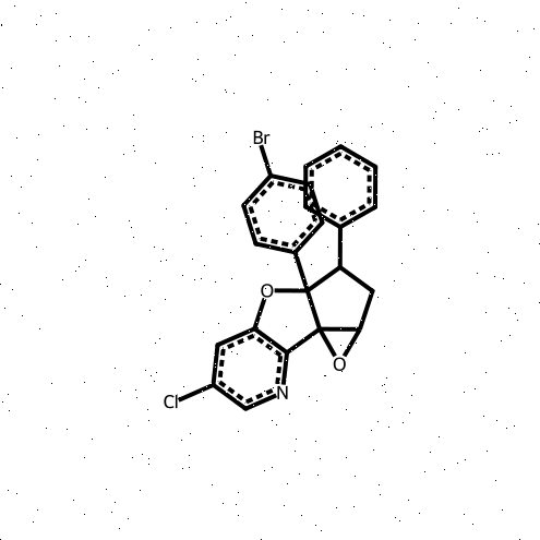 Clc1cnc2c(c1)OC1(c3ccc(Br)cc3)C(c3ccccc3)CC3OC231